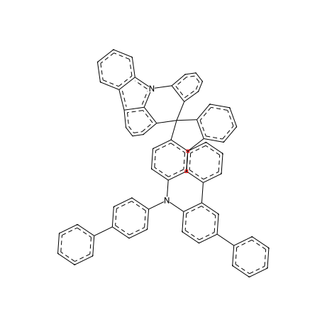 c1ccc(-c2ccc(N(c3ccc4c(c3)-c3ccccc3C43c4ccccc4-n4c5ccccc5c5cccc3c54)c3ccc(-c4ccccc4)cc3-c3ccccc3)cc2)cc1